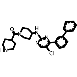 O=C(C1CCNCC1)N1CCC(Nc2ncc(Cl)c(-c3cccc(-c4ccccc4)c3)n2)CC1